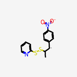 CC([CH]c1ccc([N+](=O)[O-])cc1)SSc1ccccn1